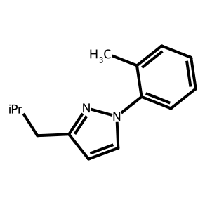 Cc1ccccc1-n1ccc(CC(C)C)n1